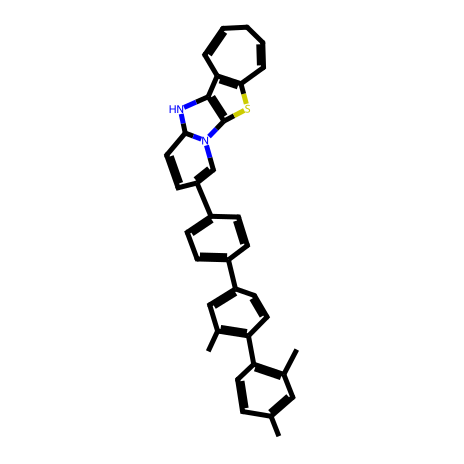 Cc1ccc(-c2ccc(-c3ccc(C4=CN5c6sc7c(c6NC5C=C4)C=CCC=C7)cc3)cc2C)c(C)c1